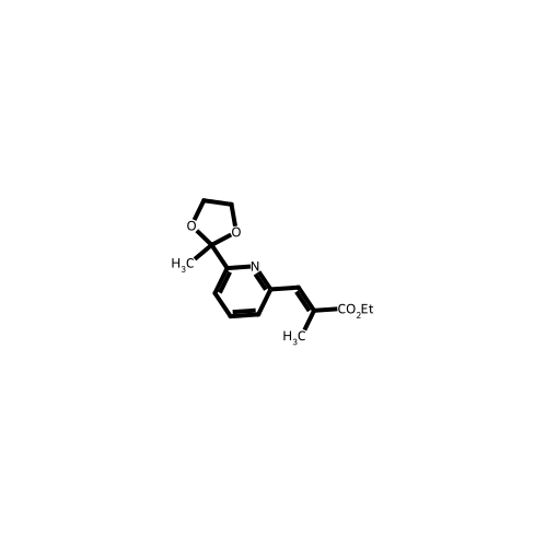 CCOC(=O)/C(C)=C/c1cccc(C2(C)OCCO2)n1